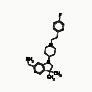 CC1(C)CN(C2CCN(CCc3ccc(F)cc3)CC2)c2cc(CN)ccc21